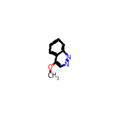 COc1cnnc2ccccc12